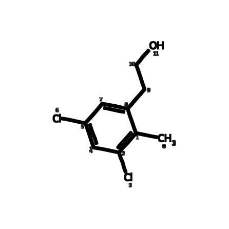 Cc1c(Cl)[c]c(Cl)cc1CCO